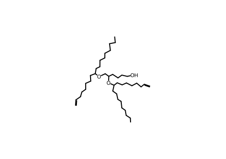 C=CCCCCCCC(CCCCCCCCC)OCC(CCCCO)OC(CCCCCCC=C)CCCCCCCCC